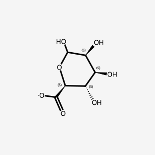 [O]C(=O)[C@H]1OC(O)[C@@H](O)[C@@H](O)[C@@H]1O